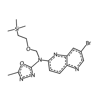 Cc1nnc(N(COCC[Si](C)(C)C)c2ccc3ncc(Br)cc3n2)o1